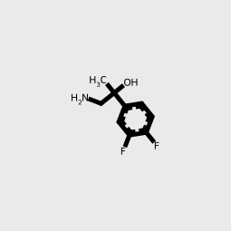 CC(O)(CN)c1ccc(F)c(F)c1